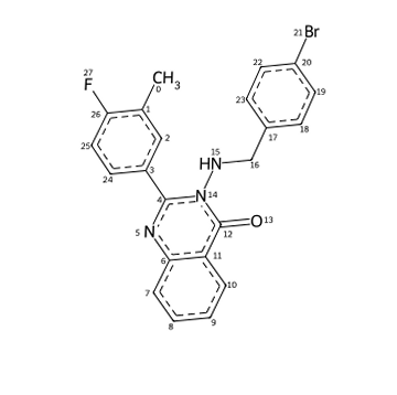 Cc1cc(-c2nc3ccccc3c(=O)n2NCc2ccc(Br)cc2)ccc1F